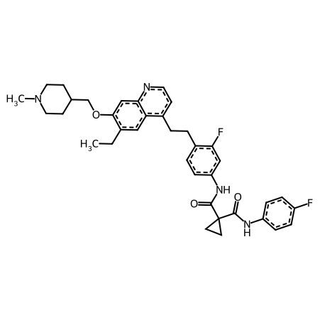 CCc1cc2c(CCc3ccc(NC(=O)C4(C(=O)Nc5ccc(F)cc5)CC4)cc3F)ccnc2cc1OCC1CCN(C)CC1